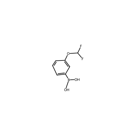 OB(O)c1cccc(OC(F)F)c1